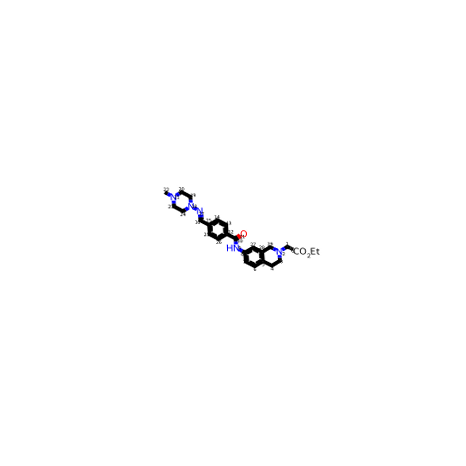 CCOC(=O)CN1CCc2ccc(NC(=O)c3ccc(/C=N/N4CCN(C)CC4)cc3)cc2C1